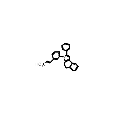 O=C(O)C=Cc1cccc(-n2c(-c3ccccc3)cc3c2CCc2ccccc2-3)c1